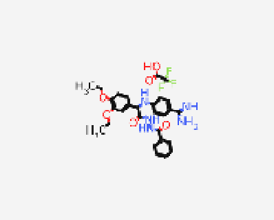 CCOc1ccc(C(Nc2ccc(C(=N)N)cc2)C(=O)NNC(=O)c2ccccc2)cc1OCC.O=C(O)C(F)(F)F